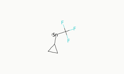 F[C](F)(F)[Sn][CH]1CC1